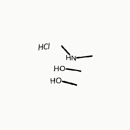 CNC.CO.CO.Cl